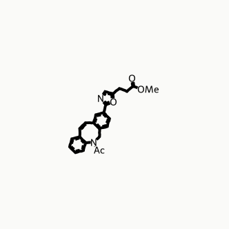 COC(=O)CCc1cnc(-c2ccc3c(c2)C=Cc2ccccc2N(C(C)=O)C3)o1